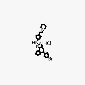 Brc1ccc(C2Cc3cnc(Nc4ccc(CCN5CCCCC5)cc4)nc3-c3ccccc32)cc1.Cl